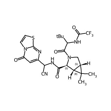 CC(C)(C)C(NC(=O)C(F)(F)F)C(=O)N1C[C@H]2[C@@H]([C@H]1C(=O)NC(C#N)c1cc(=O)n3ccsc3n1)C2(C)C